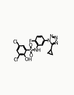 O=S(=O)(Nc1cc(-n2nnnc2C2CC2)ccc1F)c1cc(Cl)cc(Cl)c1O